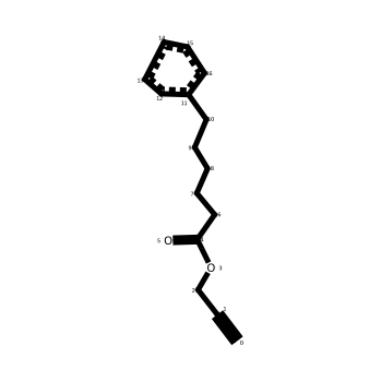 C#CCOC(=O)CCCCCc1ccccc1